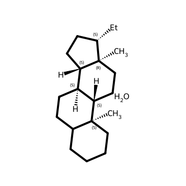 CC[C@H]1CC[C@H]2[C@@H]3CCC4CCCC[C@]4(C)[C@H]3CC[C@]12C.O